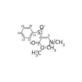 COC(=O)/C(=C\N(C)C)[S+]([O-])c1ccccc1